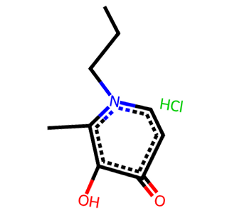 CCCn1ccc(=O)c(O)c1C.Cl